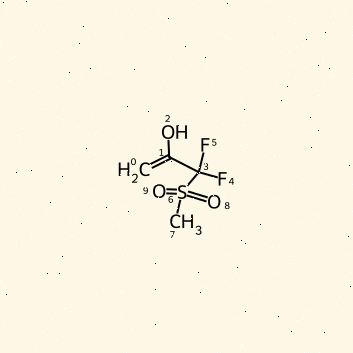 C=C(O)C(F)(F)S(C)(=O)=O